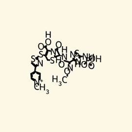 CCO/N=C(\C(=O)N[C@@H]1C(=O)N2C(C(=O)O)=C(Sc3nc(-c4cc[n+](C)cc4)cs3)CS[C@H]12)c1nsc(NP(=O)(O)O)n1